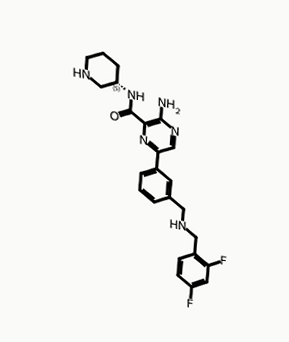 Nc1ncc(-c2cccc(CNCc3ccc(F)cc3F)c2)nc1C(=O)N[C@H]1CCCNC1